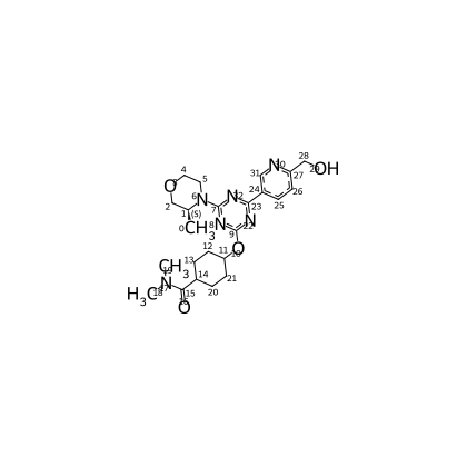 C[C@H]1COCCN1c1nc(OC2CCC(C(=O)N(C)C)CC2)nc(-c2ccc(CO)nc2)n1